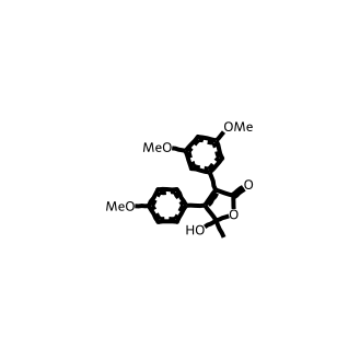 COc1ccc(C2=C(c3cc(OC)cc(OC)c3)C(=O)OC2(C)O)cc1